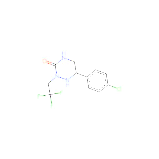 O=C1NCC(c2ccc(Cl)cc2)NN1CC(F)(F)F